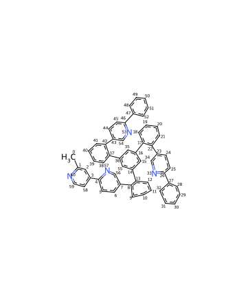 Cc1cc(-c2ccc(-c3ccccc3-c3cc(-c4ccccc4-c4ccc(-c5ccccc5)nc4)cc(-c4ccccc4-c4ccc(-c5ccccc5)nc4)c3)cn2)ccn1